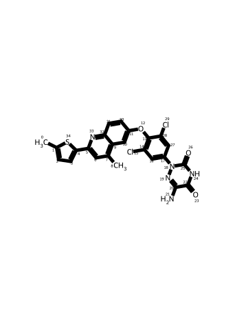 Cc1ccc(-c2cc(C)c3cc(Oc4c(Cl)cc(-n5nc(N)c(=O)[nH]c5=O)cc4Cl)ccc3n2)s1